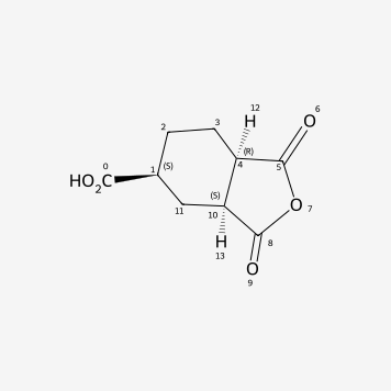 O=C(O)[C@H]1CC[C@H]2C(=O)OC(=O)[C@H]2C1